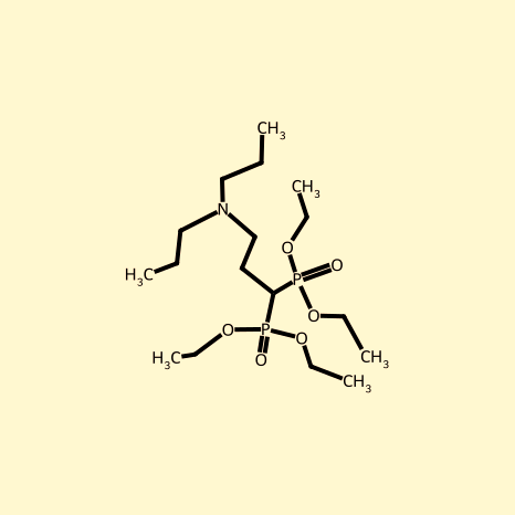 CCCN(CCC)CCC(P(=O)(OCC)OCC)P(=O)(OCC)OCC